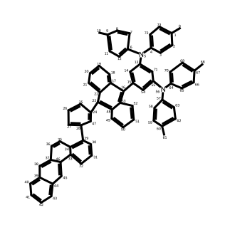 Cc1ccc(N(c2ccc(C)cc2)c2cc(-c3c4ccccc4c(-c4cccc(-c5cccc6c5ccc5cc7ccccc7cc56)c4)c4ccccc34)cc(N(c3ccc(C)cc3)c3ccc(C)cc3)c2)cc1